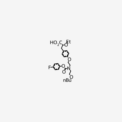 CCCCOCCN(CCOc1ccc(CC(OCC)C(=O)O)cc1)C(=O)Oc1ccc(F)cc1